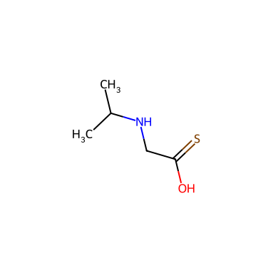 CC(C)NCC(O)=S